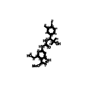 COc1n[nH]c2cc(NC(=O)NC(c3ccc(F)c(C)c3)C(C)(C)O)nc(CO)c12